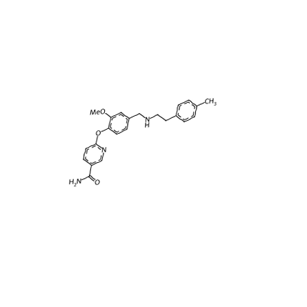 COc1cc(CNCCc2ccc(C)cc2)ccc1Oc1ccc(C(N)=O)cn1